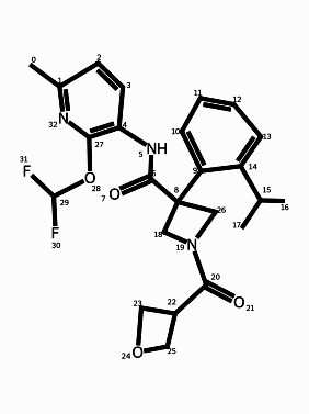 Cc1ccc(NC(=O)C2(c3ccccc3C(C)C)CN(C(=O)C3COC3)C2)c(OC(F)F)n1